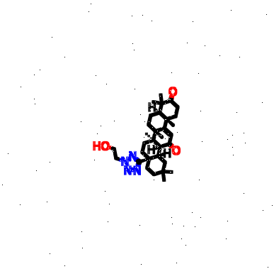 CC1(C)CC[C@]2(c3nnn(CCO)n3)CC[C@]3(C)[C@H](C(=O)C=C4[C@@]5(C)CCC(=O)C(C)(C)[C@@H]5CC[C@]43C)[C@@H]2C1